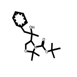 CC(C)(C)OC(=O)N1C(C(C)(O)Cc2ccccc2)COC1(C)C